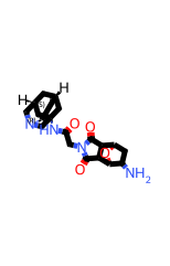 NC1CC2OC1C1C(=O)N(CC(=O)N[C@@]34C[C@@H]5C[C@@H](C[N@](C5)C3)C4)C(=O)C21